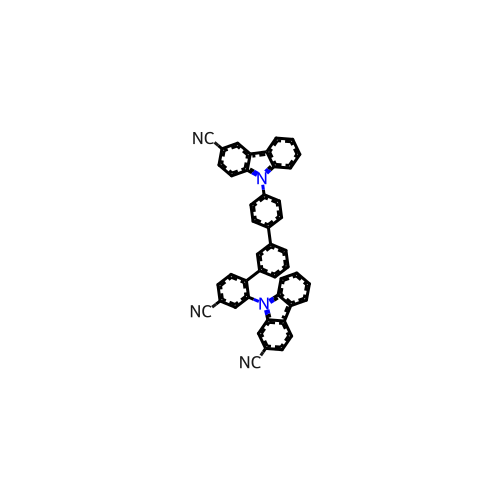 N#Cc1ccc(-c2cccc(-c3ccc(-n4c5ccccc5c5cc(C#N)ccc54)cc3)c2)c(-n2c3ccccc3c3ccc(C#N)cc32)c1